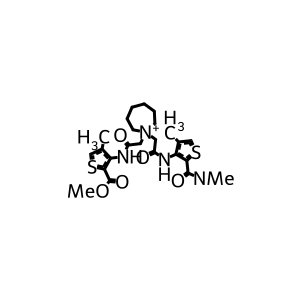 CNC(=O)c1scc(C)c1NC(=O)C[N+]1(CC(=O)Nc2c(C)csc2C(=O)OC)CCCCCC1